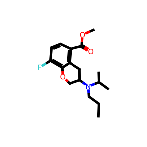 CCCN(C(C)C)C1COc2c(F)ccc(C(=O)OC)c2C1